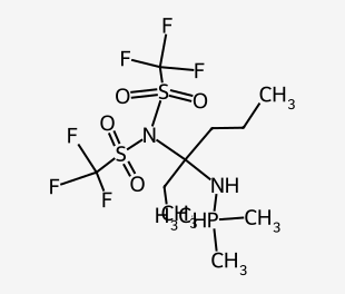 CCCC(CC)(N[PH](C)(C)C)N(S(=O)(=O)C(F)(F)F)S(=O)(=O)C(F)(F)F